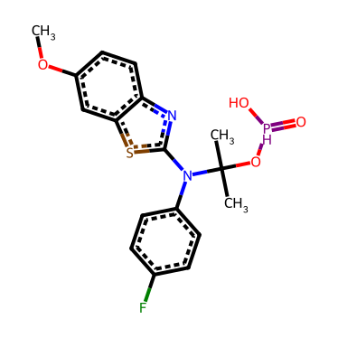 COc1ccc2nc(N(c3ccc(F)cc3)C(C)(C)O[PH](=O)O)sc2c1